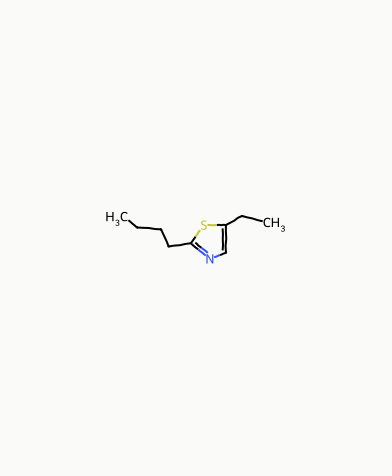 CCCCc1ncc(CC)s1